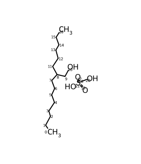 CCCCCCCCC(CO)CCCCCC.O=S(=O)(O)O